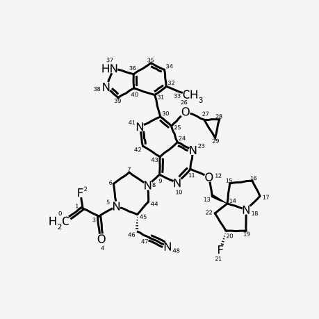 C=C(F)C(=O)N1CCN(c2nc(OC[C@@]34CCCN3C[C@H](F)C4)nc3c(OC4CC4)c(-c4c(C)ccc5[nH]ncc45)ncc23)C[C@@H]1CC#N